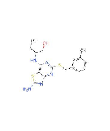 CC(C)CC(CO)Nc1nc(SCc2cccc(C#N)c2)nc2nc(N)sc12